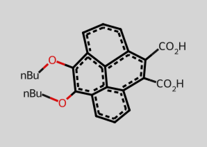 CCCCOc1c(OCCCC)c2cccc3c(C(=O)O)c(C(=O)O)c4cccc1c4c23